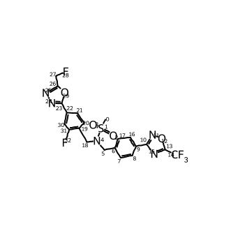 CS(=O)(=O)N(Cc1ccc(-c2noc(C(F)(F)F)n2)cc1)Cc1ccc(-c2nnc(CF)o2)cc1F